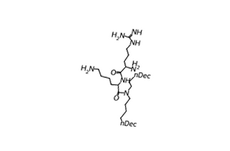 CCCCCCCCCCCCCCN(CCCCCCCCCCCC)C(=O)C(CCCCN)NC(=O)C(N)CCCNC(=N)N